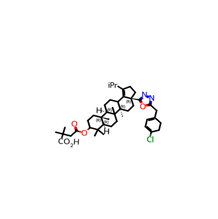 CC(C)C1=C2C3CC[C@H]4C(C)(CC[C@H]5C(C)(C)C(OC(=O)CC(C)(C)C(=O)O)CC[C@@]54C)[C@]3(C)CC[C@@]2(c2nnc(CC3=CC=C(Cl)CC3)o2)CC1